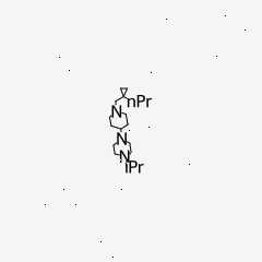 CCCC1(CN2CCC(N3CCN(C(C)C)CC3)CC2)CC1